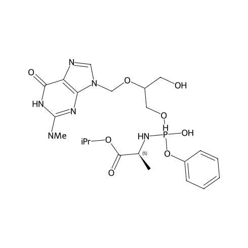 CNc1nc2c(ncn2COC(CO)CO[PH](O)(N[C@@H](C)C(=O)OC(C)C)Oc2ccccc2)c(=O)[nH]1